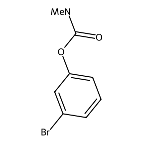 CNC(=O)Oc1cccc(Br)c1